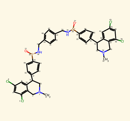 CN1Cc2c(Cl)cc(Cl)cc2C(c2ccc([S+]([O-])NCc3ccc(CN[S+]([O-])c4ccc(C5CN(C)Cc6c(Cl)cc(Cl)cc65)cc4)cc3)cc2)C1